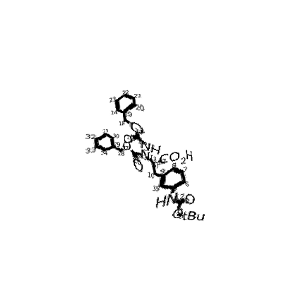 CC(C)(C)OC(=O)Nc1cccc(C[C@@H](C(=O)O)N(NC(=O)OCc2ccccc2)C(=O)OCc2ccccc2)c1